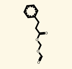 O=[C]OCOC(=O)CCc1ccccc1